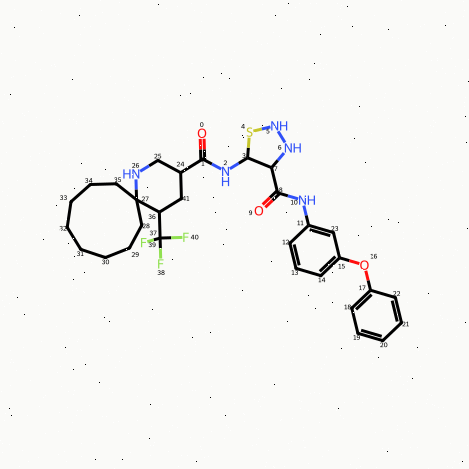 O=C(NC1SNNC1C(=O)Nc1cccc(Oc2ccccc2)c1)C1CNC2(CCCCCCCC2)C(C(F)(F)F)C1